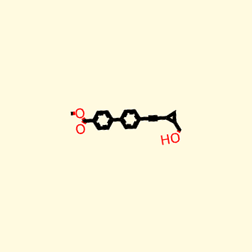 COC(=O)c1ccc(-c2ccc(C#CC3CC3CO)cc2)cc1